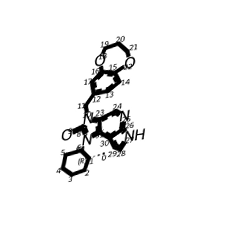 C[C@@H]1CCCC[C@@H]1n1c(=O)n(Cc2ccc3c(c2)OCCCO3)c2cnc3[nH]ccc3c21